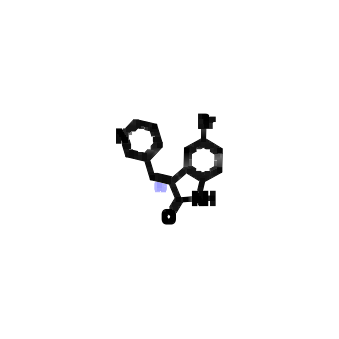 O=C1Nc2ccc(Br)cc2/C1=C\c1cccnc1